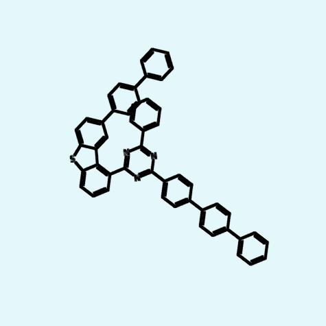 c1ccc(-c2ccc(-c3ccc(-c4nc(-c5ccccc5)nc(-c5cccc6sc7ccc(-c8ccc(-c9ccccc9)cc8)cc7c56)n4)cc3)cc2)cc1